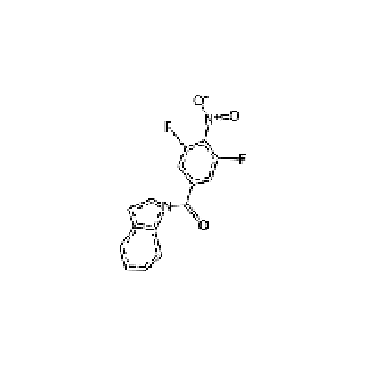 O=C(c1cc(F)c([N+](=O)[O-])c(F)c1)n1ccc2ccccc21